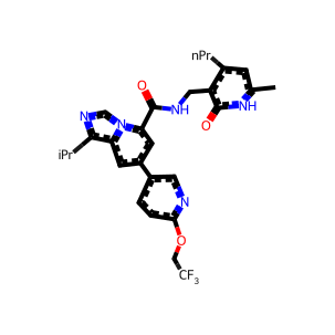 CCCc1cc(C)[nH]c(=O)c1CNC(=O)c1cc(-c2ccc(OCC(F)(F)F)nc2)cc2c(C(C)C)ncn12